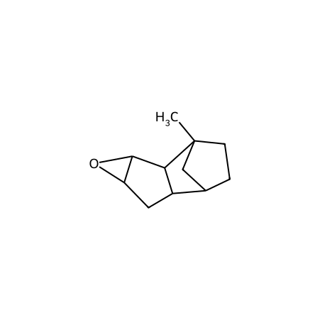 CC12CCC(C1)C1CC3OC3C12